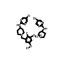 CCOc1cc(CN2CCC(Nc3ncc(CC)cn3)CC2)c(F)c(OCC)c1.CCc1cnc(NC2CCNCC2)nc1